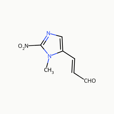 Cn1c(C=CC=O)cnc1[N+](=O)[O-]